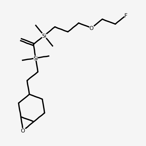 C=C([Si](C)(C)CCCOCCF)[Si](C)(C)CCC1CCC2OC2C1